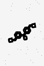 O=C(c1ccc(CCl)cc1)c1cccc(CCl)c1